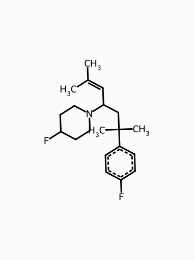 CC(C)=CC(CC(C)(C)c1ccc(F)cc1)N1CCC(F)CC1